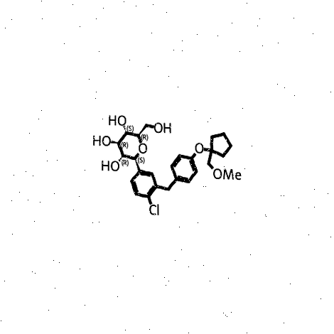 COCC1(Oc2ccc(Cc3cc([C@@H]4O[C@H](CO)[C@@H](O)[C@H](O)[C@H]4O)ccc3Cl)cc2)CCCC1